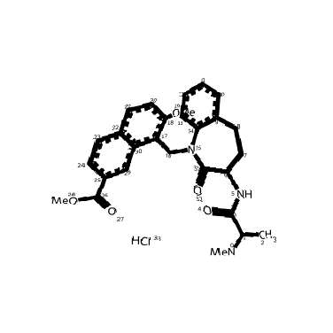 CNC(C)C(=O)NC1CCc2ccccc2N(Cc2c(OC)ccc3ccc(C(=O)OC)cc23)C1=O.Cl